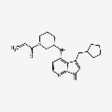 C=CC(=O)N1CCCC(Nc2ccnc3[nH]cc(CC4CCCC4)c23)C1